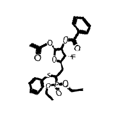 CCOP(=O)(OCC)C(C[C@H]1O[C@@H](OC(C)=O)C(OC(=O)c2ccccc2)[C@@H]1F)Sc1ccccc1